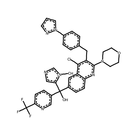 Cn1cncc1C(O)(c1ccc(C(F)(F)F)nc1)c1ccc2nc(N3CCOCC3)c(Cc3ccc(-n4cccn4)cc3)c(Cl)c2c1